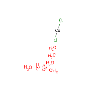 O.O.O.O.O.O.O.[Cl][Cd][Cl]